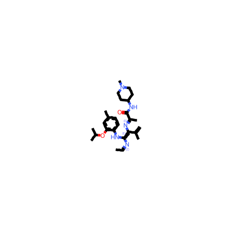 C=C(C)C(/N=C(\C)C(=O)NC1CCN(C)CC1)=C(\N=C/C)Nc1ccc(C)cc1OC(C)C